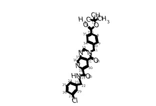 CC(C)(C)OC(=O)c1ccc(Cn2cnc3cnc(C(=O)NCc4cccc(Cl)c4)cc3c2=O)cc1